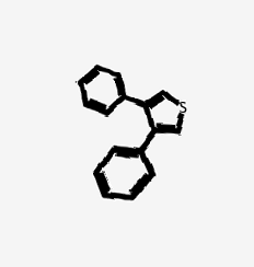 [c]1ccc(-c2cscc2-c2ccccc2)cc1